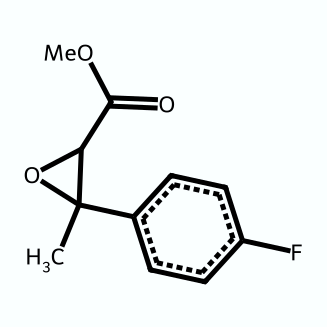 COC(=O)C1OC1(C)c1ccc(F)cc1